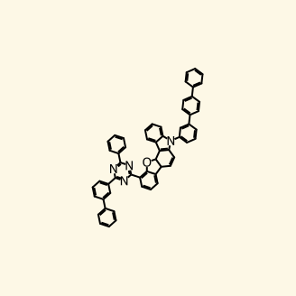 C1=CC2c3cccc(-c4nc(-c5ccccc5)nc(-c5cccc(-c6ccccc6)c5)n4)c3OC2c2c1n(-c1cccc(-c3ccc(-c4ccccc4)cc3)c1)c1ccccc21